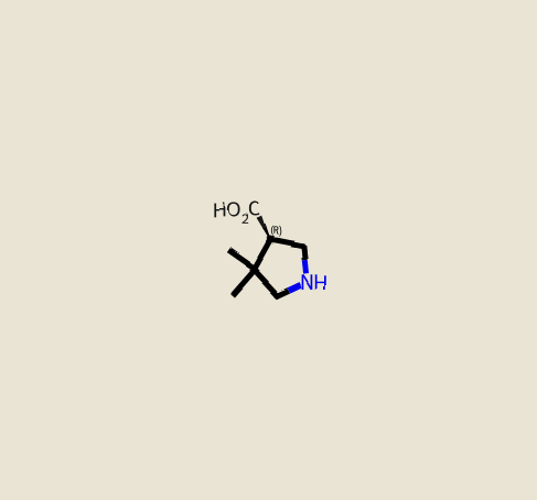 CC1(C)CNC[C@@H]1C(=O)O